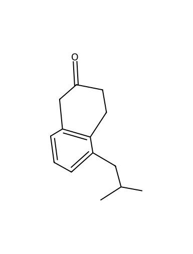 CC(C)Cc1cccc2c1CCC(=O)C2